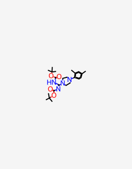 Cc1ccc(N2CCN(C(=NC(=O)OC(C)(C)C)NC(=O)OC(C)(C)C)CC2)c(C)c1